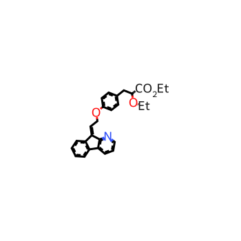 CCOC(=O)C(Cc1ccc(OCC=C2c3ccccc3-c3cccnc32)cc1)OCC